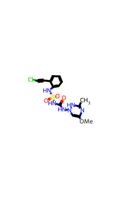 COC1=CN(NC(=O)NS(=O)(=O)Nc2ccccc2C#CCl)NC(C)=N1